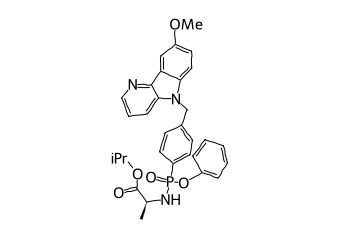 COc1ccc2c(c1)c1ncccc1n2Cc1ccc(P(=O)(N[C@@H](C)C(=O)OC(C)C)Oc2ccccc2)cc1